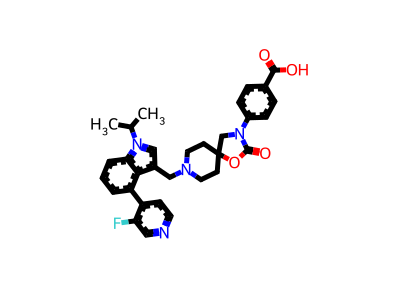 CC(C)n1cc(CN2CCC3(CC2)CN(c2ccc(C(=O)O)cc2)C(=O)O3)c2c(-c3ccncc3F)cccc21